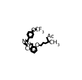 CC(=O)C[C@H](C)CCCOc1ccccc1Cn1c(C)cnc1-c1ccc(OC(F)(F)F)cc1